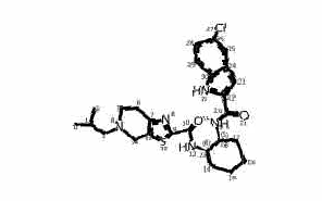 CC(C)CN1CCc2nc(C(=O)N[C@@H]3CCCC[C@@H]3NC(=O)c3cc4cc(Cl)ccc4[nH]3)sc2C1